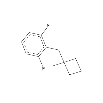 CC1(Cc2c(F)cccc2F)CCC1